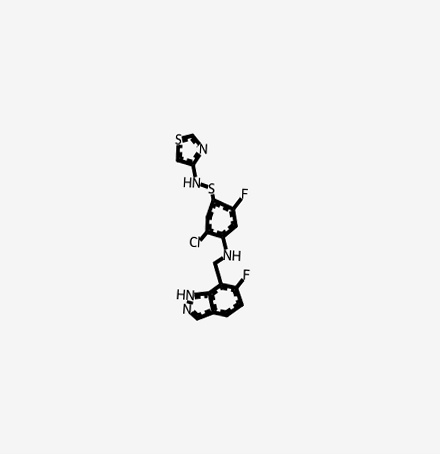 Fc1cc(NCc2c(F)ccc3cn[nH]c23)c(Cl)cc1SNc1cscn1